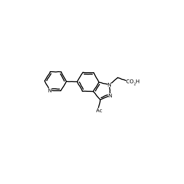 CC(=O)c1nn(CC(=O)O)c2ccc(-c3cccnc3)cc12